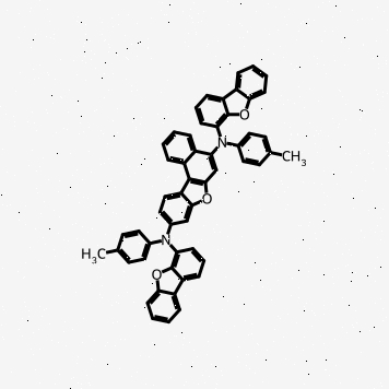 Cc1ccc(N(c2ccc3c(c2)oc2cc(N(c4ccc(C)cc4)c4cccc5c4oc4ccccc45)c4ccccc4c23)c2cccc3c2oc2ccccc23)cc1